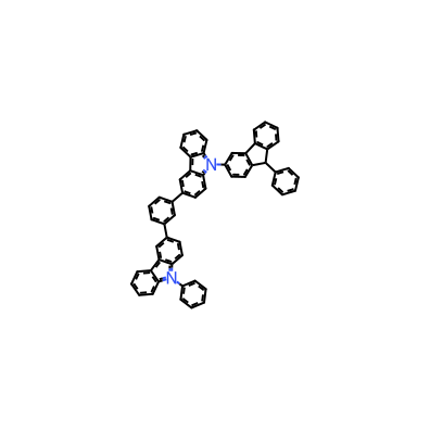 c1ccc(C2c3ccccc3-c3cc(-n4c5ccccc5c5cc(-c6cccc(-c7ccc8c(c7)c7ccccc7n8-c7ccccc7)c6)ccc54)ccc32)cc1